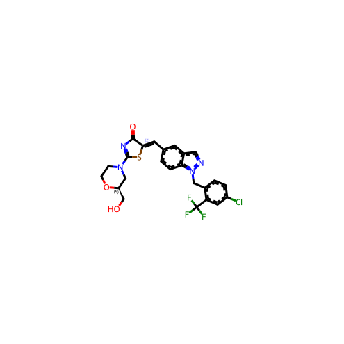 O=C1N=C(N2CCO[C@H](CO)C2)S/C1=C\c1ccc2c(cnn2Cc2ccc(Cl)cc2C(F)(F)F)c1